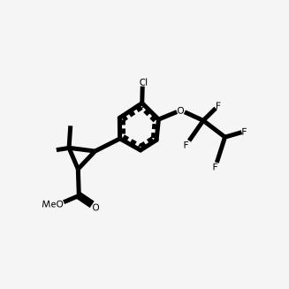 COC(=O)C1C(c2ccc(OC(F)(F)C(F)F)c(Cl)c2)C1(C)C